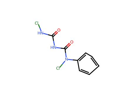 O=C(NCl)NC(=O)N(Cl)c1ccccc1